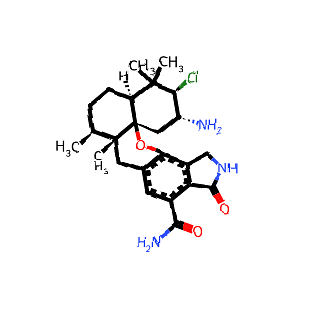 C[C@H]1CC[C@H]2C(C)(C)[C@@H](Cl)[C@H](N)C[C@]23Oc2c(cc(C(N)=O)c4c2CNC4=O)C[C@]13C